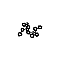 CC1(C)c2ccccc2-c2c1ccc1c3cc(-c4cccc(-c5ccccc5Nc5cccc(-c6ccccc6)c5)c4)ccc3n(-c3cccc(-c4ccccc4)c3)c21